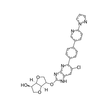 O[C@@H]1CO[C@@H]2C(Oc3nc4nc(-c5ccc(-c6ccc(-n7cccn7)nc6)cc5)c(Cl)cc4[nH]3)CO[C@H]12